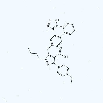 CCCCc1nn(-c2ccc(OC)cc2)c(C(=O)O)c1Cc1ccc(-c2ccccc2-c2nnn[nH]2)cc1